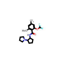 COc1cc(C(F)(F)F)cc(OC(F)F)c1C(=O)NC1CCCC1N1CCCC1